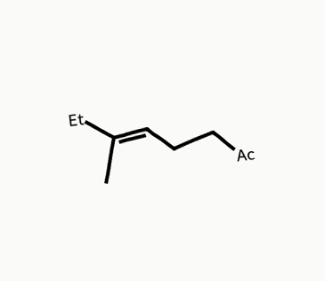 CCC(C)=CCCC(C)=O